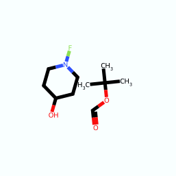 CC(C)(C)OC=O.OC1CCN(F)CC1